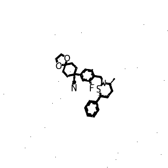 C[C@H]1CCC(c2ccccc2)SN1Cc1ccc(C2(C#N)CCC3(CC2)OCCO3)cc1F